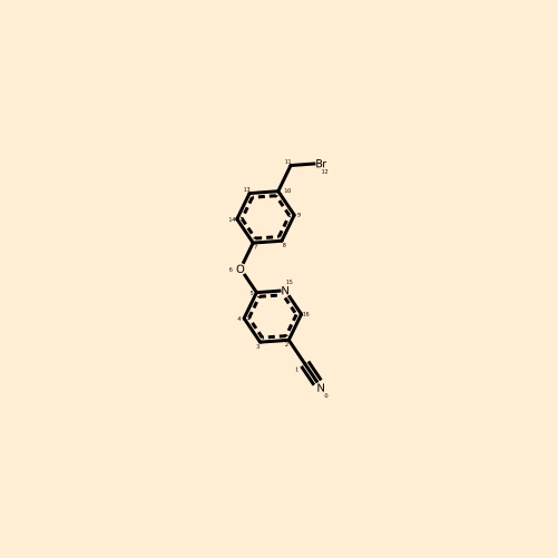 N#Cc1ccc(Oc2ccc(CBr)cc2)nc1